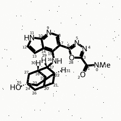 CNC(=O)c1nnc(-c2cnc3[nH]ccc3c2N[C@H]2[C@@H]3CC4C[C@H]2C[C@@](O)(C4)C3)o1